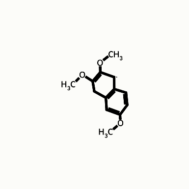 COC1=C(OC)Cc2cc(OC)ccc2[CH]1